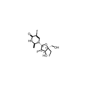 C=C1NC(=O)C(F)=CN1[C@@H]1O[C@@](CO)(CF)[C@@H](O)[C@H]1F